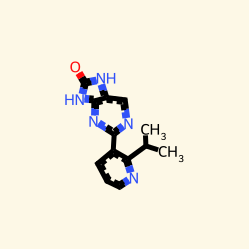 CC(C)c1ncccc1-c1ncc2[nH]c(=O)[nH]c2n1